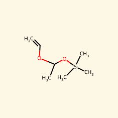 C=COC(C)O[Si](C)(C)C